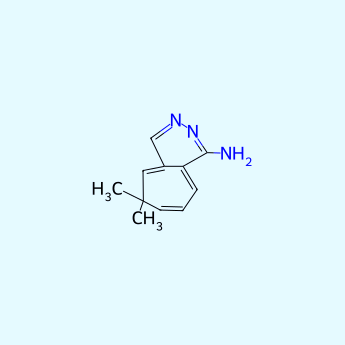 CC1(C)C=CC=c2c(N)nncc2=C1